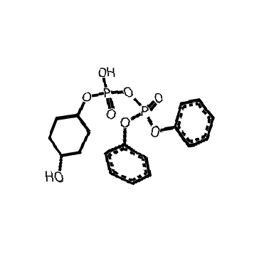 O=P(O)(OC1CCC(O)CC1)OP(=O)(Oc1ccccc1)Oc1ccccc1